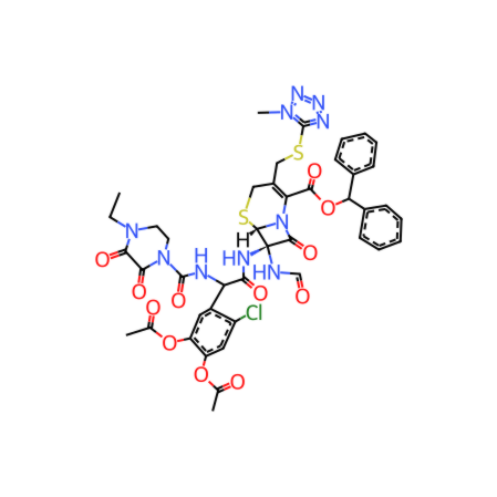 CCN1CCN(C(=O)NC(C(=O)N[C@]2(NC=O)C(=O)N3C(C(=O)OC(c4ccccc4)c4ccccc4)=C(CSc4nnnn4C)CS[C@H]32)c2cc(OC(C)=O)c(OC(C)=O)cc2Cl)C(=O)C1=O